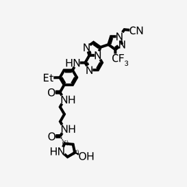 CCc1cc(Nc2nccn3c(-c4cn(CC#N)nc4C(F)(F)F)cnc23)ccc1C(=O)NCCCNC(=O)[C@@H]1C[C@@H](O)CN1